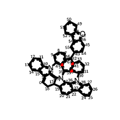 C1=c2c(n(-c3ccccc3)c3ccccc23)=C2C(C1)c1ccc3c4ccccc4n(-c4ccccc4)c3c1N2c1ccc(-c2ccc3oc4ccccc4c3c2)cc1